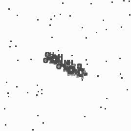 CN1CCN(c2ccc(CC(N)C(=O)Nc3ccc(C(=O)O)cc3)cc2)C(=O)C1